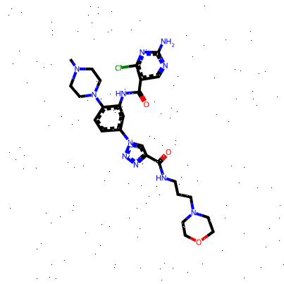 CN1CCN(c2ccc(-n3cc(C(=O)NCCCN4CCOCC4)nn3)cc2NC(=O)c2cnc(N)nc2Cl)CC1